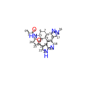 C=CC(=O)NC1CCC=C(c2c(-c3cnn(C)c3)cnc3[nH]cc(-c4ccco4)c23)C1